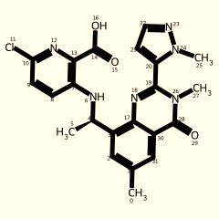 Cc1cc([C@@H](C)Nc2ccc(Cl)nc2C(=O)O)c2nc(-c3ccnn3C)n(C)c(=O)c2c1